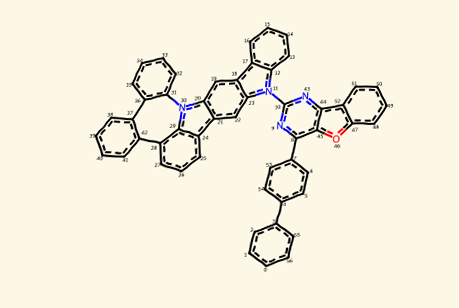 c1ccc(-c2ccc(-c3nc(-n4c5ccccc5c5cc6c(cc54)c4cccc5c4n6-c4ccccc4-c4ccccc4-5)nc4c3oc3ccccc34)cc2)cc1